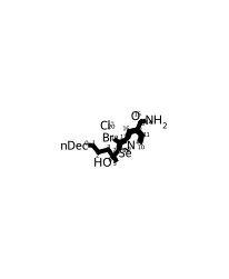 CCCCCCCCCCCCCC(C)(O)c1[se][n+]2ccc(C(N)=O)cc2c1Br.[Cl-]